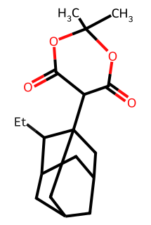 CCC1C2CC3CC(C2)CC1(C1C(=O)OC(C)(C)OC1=O)C3